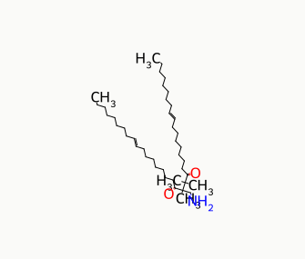 CCCCCCCCC=CCCCCCCCC(=O)C(C)(C)C(C)(CN)C(=O)CCCCCCCC=CCCCCCCCC